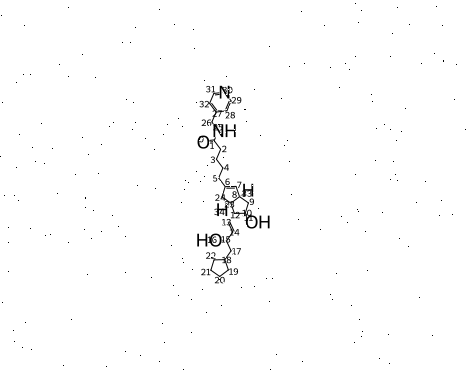 O=C(CCCCC1=C[C@H]2C[C@@H](O)[C@H](/C=C/[C@@H](O)CC3CCCC3)[C@H]2C1)NCc1ccncc1